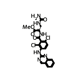 COC(=O)[C@H](CNC(N)=O)NC(=O)c1c(Cl)ccc(Nc2ncc3ccccc3n2)c1Cl